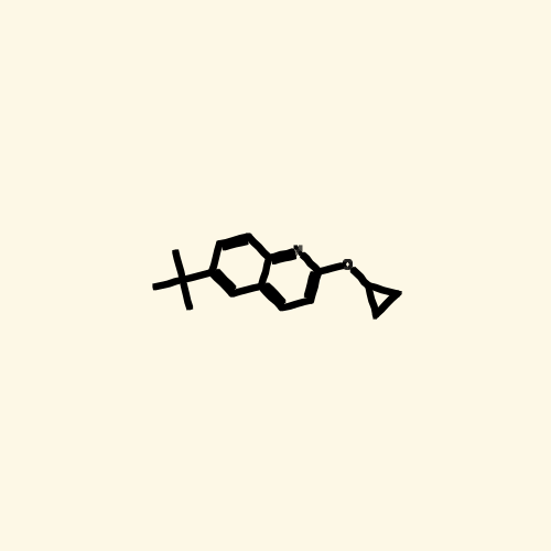 CC(C)(C)c1ccc2nc(OC3CC3)ccc2c1